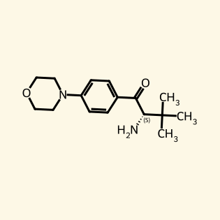 CC(C)(C)[C@H](N)C(=O)c1ccc(N2CCOCC2)cc1